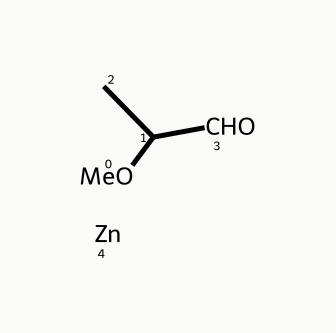 COC(C)C=O.[Zn]